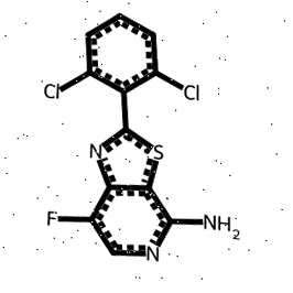 Nc1ncc(F)c2nc(-c3c(Cl)cccc3Cl)sc12